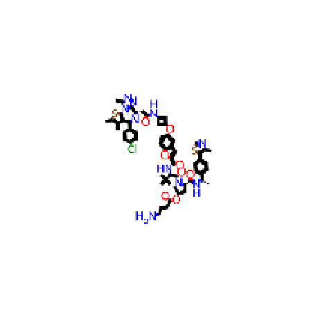 Cc1ncsc1-c1ccc([C@H](C)NC(=O)[C@@H]2C[C@@H](OC(=O)CCCN)CN2C(=O)C(NC(=O)c2cc3cc(O[C@H]4C[C@@H](NC(=O)C[C@@H]5N=C(c6ccc(Cl)cc6)c6c(sc(C)c6C)-n6c(C)nnc65)C4)ccc3o2)C(C)(C)C)cc1